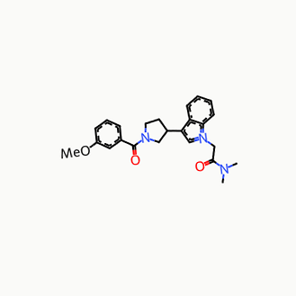 COc1cccc(C(=O)N2CCC(c3cn(CC(=O)N(C)C)c4ccccc34)C2)c1